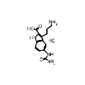 Cl.NCCCc1c(C(=O)O)[nH]c2ccc(NC(N)=O)cc12